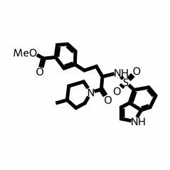 COC(=O)c1cccc(CCC(NS(=O)(=O)c2cccc3[nH]ccc23)C(=O)N2CCC(C)CC2)c1